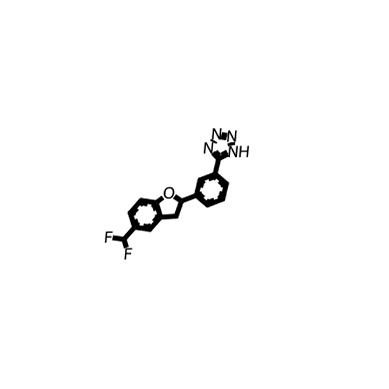 FC(F)c1ccc2c(c1)CC(c1cccc(-c3nnn[nH]3)c1)O2